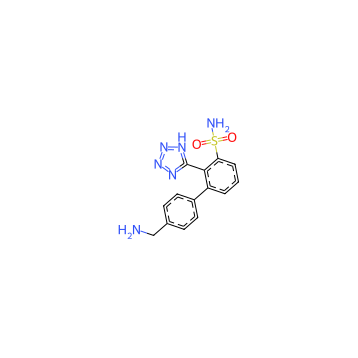 NCc1ccc(-c2cccc(S(N)(=O)=O)c2-c2nnn[nH]2)cc1